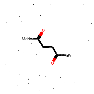 CCCC(=O)CCC(=O)NC